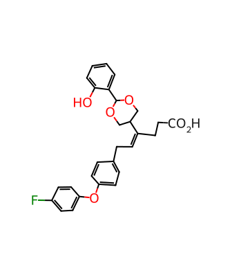 O=C(O)CCC(=CCc1ccc(Oc2ccc(F)cc2)cc1)C1COC(c2ccccc2O)OC1